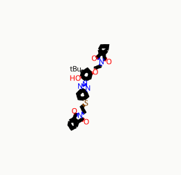 CC(C)(C)c1cc(OCCN2C(=O)C3C4C=CC(C4)C3C2=O)cc(-n2nc3ccc(SCCN4C(=O)C5C6C=CC(C6)C5C4=O)cc3n2)c1O